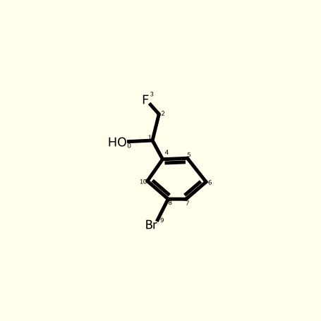 OC(CF)c1cccc(Br)c1